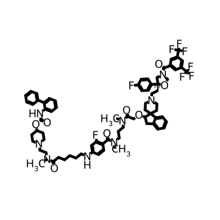 CN(CCN1CCC(OC(=O)Nc2ccccc2-c2ccccc2)CC1)C(=O)CCCCCNc1ccc(C(=O)N(C)CCCN(C)C(=O)COC2Cc3ccccc3C23CCN(CC[C@@]2(c4ccc(F)cc4)CN(C(=O)c4cc(C(F)(F)F)cc(C(F)(F)F)c4)CO2)CC3)c(F)c1